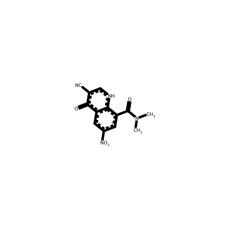 CN(C)C(=O)c1cc([N+](=O)[O-])cc2c(=O)c(C#N)c[nH]c12